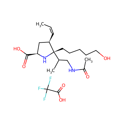 C/C=C\[C@@H]1C[C@H](C(=O)O)N[C@@]1(CCCCCO)C(C)CNC(C)=O.O=C(O)C(F)(F)F